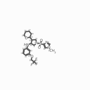 Cn1cnc(S(=O)(=O)N2CC(Nc3cccc(OCC(F)(F)F)c3)C(C3CCCCO3)C2)c1